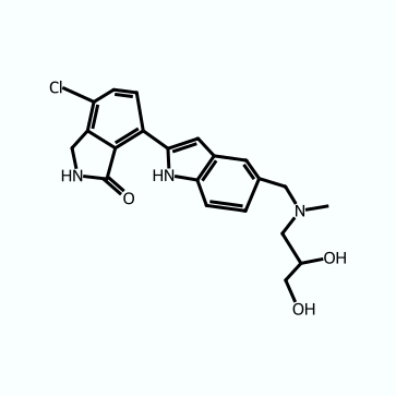 CN(Cc1ccc2[nH]c(-c3ccc(Cl)c4c3C(=O)NC4)cc2c1)CC(O)CO